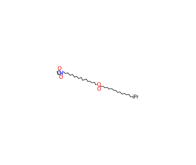 CC(C)CCCCCCCCCCCCCCC(=O)OCCCCCCCCCCCCCCCCN1C(=O)C=CC1=O